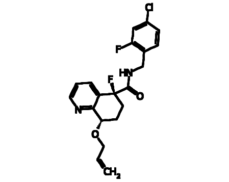 C=CCO[C@H]1CC[C@@](F)(C(=O)NCc2ccc(Cl)cc2F)c2cccnc21